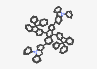 c1ccc(N2c3ccccc3Cc3cc(-c4ccc5c(-c6ccc7c(c6)C(c6ccccc6)(c6ccccc6)c6ccccc6-7)c6cc(-c7ccc8c(c7)c7ccccc7n8-c7ccccc7)ccc6c(-c6ccc7c(c6)C(c6ccccc6)(c6ccccc6)c6ccccc6-7)c5c4)ccc32)cc1